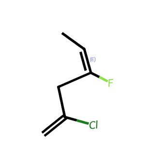 C=C(Cl)C/C(F)=C\C